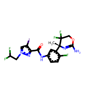 C[C@]1(c2cc(NC(=O)c3nn(CC(F)F)cc3I)ccc2F)N=C(N)OCC1(F)F